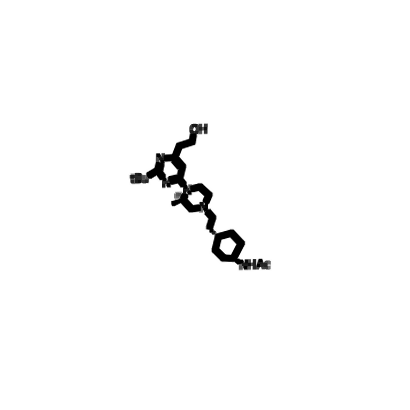 CC(=O)N[C@H]1CC[C@H](CCN2CCN(c3cc(CCO)nc(C(C)(C)C)n3)[C@H](C)C2)CC1